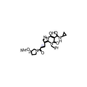 CO[C@@H]1CCN(C(=O)/C=C/c2cnn3c(O)c(C(=O)NC4CC4)c(=O)n(CC(C)C)c23)C1